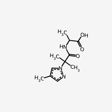 Cc1cnn(C(C)(C)C(=O)NC(C)C(=O)O)c1